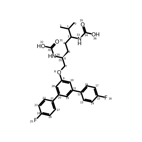 CC(C)C(CC[C@@H](COc1cc(-c2ccc(F)cc2)cc(-c2ccc(F)cc2)c1)NC(=O)O)NC(=O)O